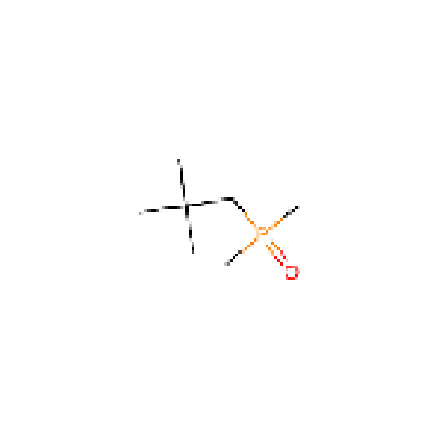 CC(C)(C)CP(C)(C)=O